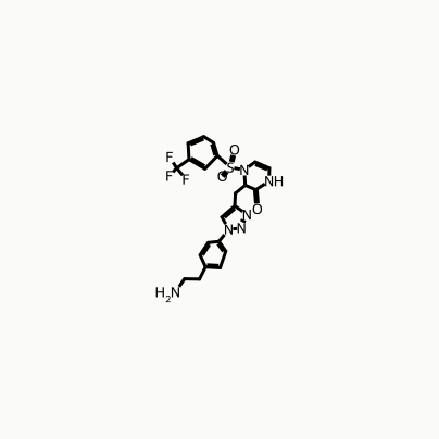 NCCc1ccc(-n2cc(CC3C(=O)NC=CN3S(=O)(=O)c3cccc(C(F)(F)F)c3)nn2)cc1